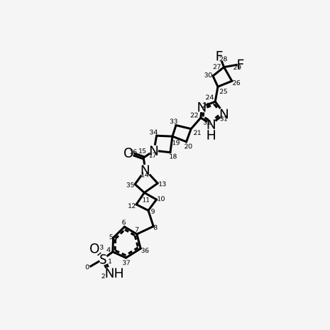 CS(=N)(=O)c1ccc(CC2CC3(C2)CN(C(=O)N2CC4(CC(c5nc(C6CC(F)(F)C6)n[nH]5)C4)C2)C3)cc1